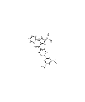 COc1cc(OC)cc(N2CCN(C(=O)c3cc(C(Br)Br)nn3-c3ccccc3)CC2)c1